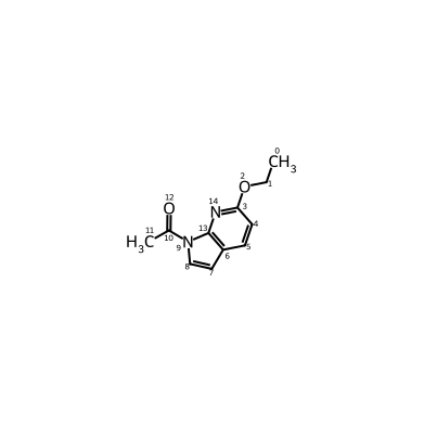 CCOc1ccc2ccn(C(C)=O)c2n1